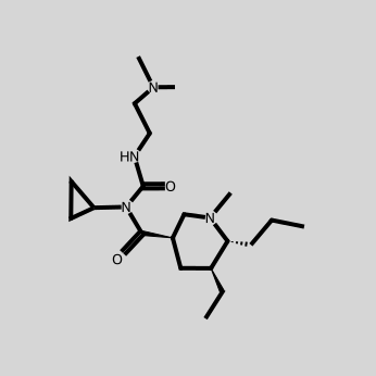 CCC[C@@H]1[C@@H](CC)C[C@@H](C(=O)N(C(=O)NCCN(C)C)C2CC2)CN1C